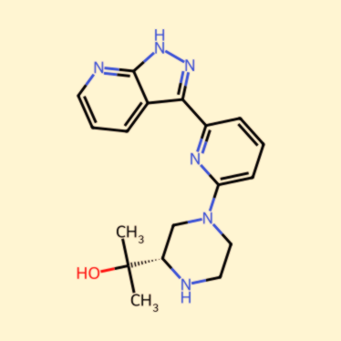 CC(C)(O)[C@@H]1CN(c2cccc(-c3n[nH]c4ncccc34)n2)CCN1